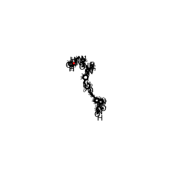 C[C@@H]1CN(CC2CCC(n3cc(NC(=O)c4cnn5ccc(N6C[C@H]7C[C@@H]6CO7)nc45)c(C(F)F)n3)CC2)CC[C@H]1OCC#Cc1ccc2c(N3CCC(=O)NC3=O)cncc2c1